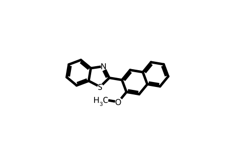 COc1cc2ccccc2cc1-c1nc2ccccc2s1